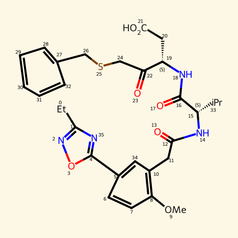 CCc1noc(-c2ccc(OC)c(CC(=O)N[C@H](C(=O)N[C@@H](CC(=O)O)C(=O)CSCc3ccccc3)C(C)C)c2)n1